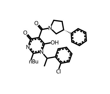 CCCCc1nc(=O)c(C(=O)N2CC[C@H](c3ccccc3)C2)c(O)n1C(C)c1ccccc1Cl